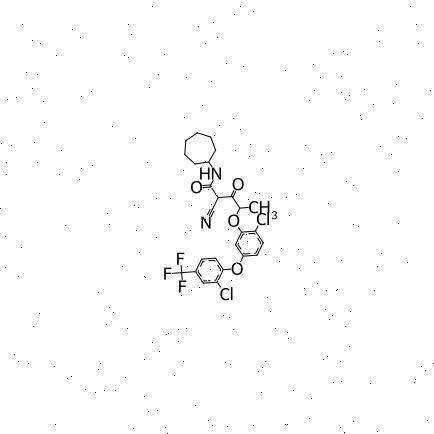 CC(Oc1cc(Oc2ccc(C(F)(F)F)cc2Cl)ccc1Cl)C(=O)C(C#N)C(=O)NC1CCCCCC1